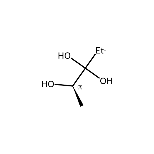 C[CH]C(O)(O)[C@@H](C)O